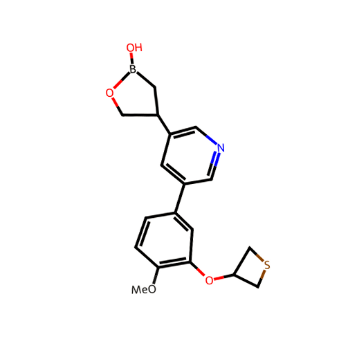 COc1ccc(-c2cncc(C3COB(O)C3)c2)cc1OC1CSC1